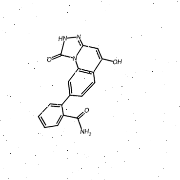 NC(=O)c1ccccc1-c1ccc2c(O)cc3n[nH]c(=O)n3c2c1